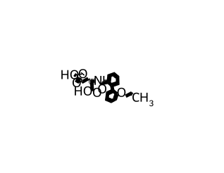 CCCOc1ccccc1-c1ccccc1C(=O)N[C@@H](CCS(=O)(=O)O)C(=O)O